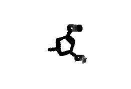 Cc1cc([C]=O)cc(C(F)(F)F)c1